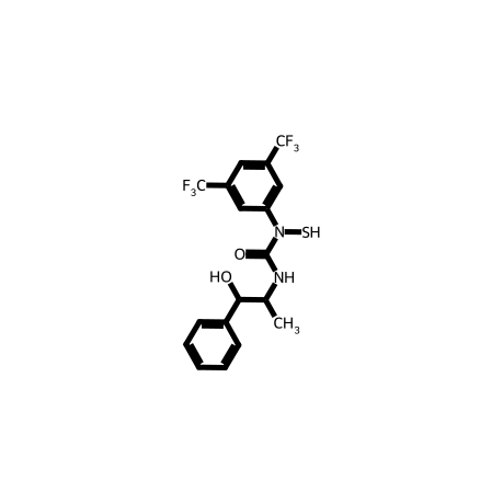 CC(NC(=O)N(S)c1cc(C(F)(F)F)cc(C(F)(F)F)c1)C(O)c1ccccc1